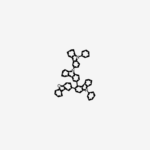 c1ccc(-n2c3ccccc3c3cc(-n4c5ccccc5c5cc(-c6c(-c7ccc8oc9ccccc9c8c7)ccc7c6c6ccccc6n7-c6ccccc6)ccc54)ccc32)cc1